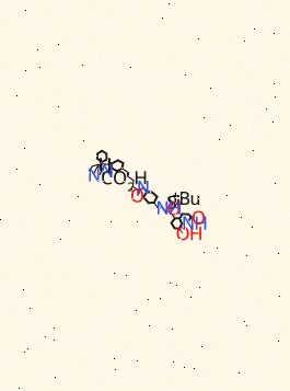 CC(C)(C)[Si](C)(C)O[C@@H](CNCc1ccc2nc(CC/C=C/c3ccc(-c4ccccc4)c(N(C(=O)O)[C@H]4CN5CCC4CC5)c3)oc2c1)c1ccc(O)c2[nH]c(=O)ccc12